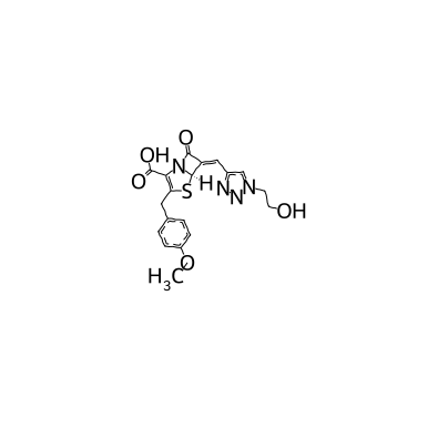 COc1ccc(CC2=C(C(=O)O)N3C(=O)/C(=C/c4cn(CCO)nn4)[C@H]3S2)cc1